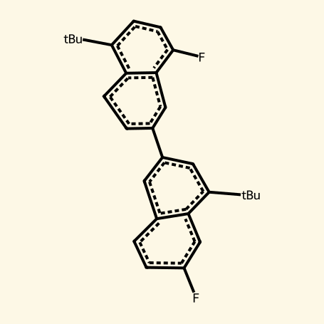 CC(C)(C)c1cc(-c2ccc3c(C(C)(C)C)ccc(F)c3c2)cc2ccc(F)cc12